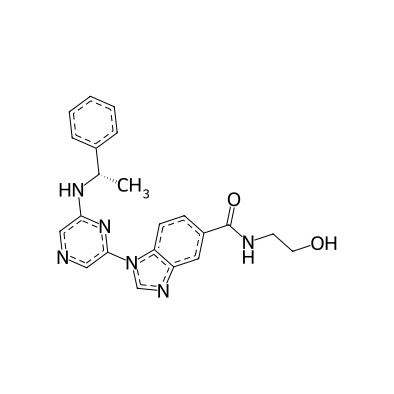 C[C@H](Nc1cncc(-n2cnc3cc(C(=O)NCCO)ccc32)n1)c1ccccc1